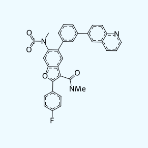 CNC(=O)c1c(-c2ccc(F)cc2)oc2cc(N(C)I(=O)=O)c(-c3cccc(-c4ccc5ncccc5c4)c3)cc12